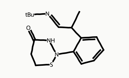 CC(C=NC(C)(C)C)c1ccccc1N1NC(=O)CCS1